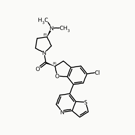 CN(C)[C@@H]1CCN(C(=O)[C@H]2Cc3cc(Cl)cc(-c4ccnc5ccsc45)c3O2)C1